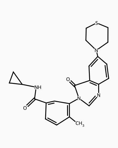 Cc1ccc(C(=O)NC2CC2)cc1-n1cnc2ccc(N3CCSCC3)cc2c1=O